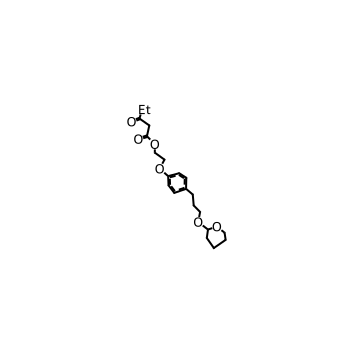 CCC(=O)CC(=O)OCCOc1ccc(CCCOC2CCCCO2)cc1